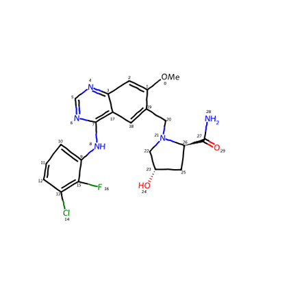 COc1cc2ncnc(Nc3cccc(Cl)c3F)c2cc1CN1C[C@@H](O)C[C@@H]1C(N)=O